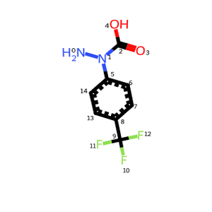 NN(C(=O)O)c1ccc(C(F)(F)F)cc1